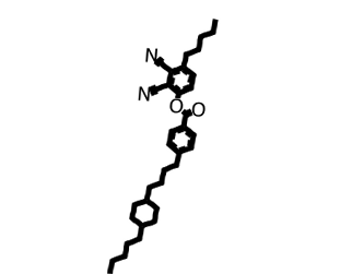 CCCCCc1ccc(OC(=O)c2ccc(CCCCC3CCC(CCCCC)CC3)cc2)c(C#N)c1C#N